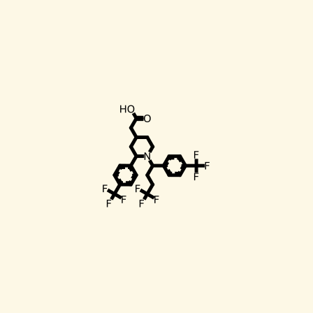 O=C(O)CC1CCN(C(CCC(F)(F)F)c2ccc(C(F)(F)F)cc2)C(c2ccc(C(F)(F)F)cc2)C1